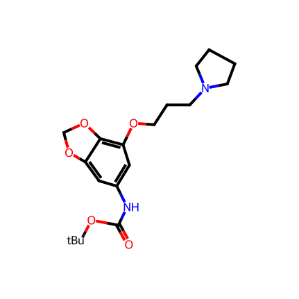 CC(C)(C)OC(=O)Nc1cc(OCCCN2CCCC2)c2c(c1)OCO2